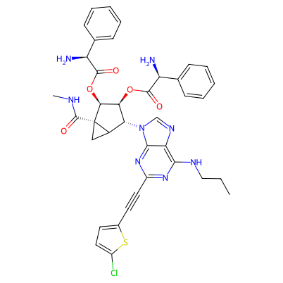 CCCNc1nc(C#Cc2ccc(Cl)s2)nc2c1ncn2[C@@H]1C2C[C@@]2(C(=O)NC)[C@@H](OC(=O)[C@@H](N)c2ccccc2)[C@H]1OC(=O)[C@@H](N)c1ccccc1